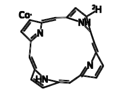 [2H]c1cc2cc3nc(cc4ccc(cc5nc(cc1[nH]2)C=C5)[nH]4)C=C3.[Co]